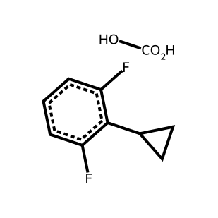 Fc1cccc(F)c1C1CC1.O=C(O)O